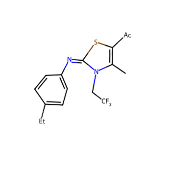 CCc1ccc(N=c2sc(C(C)=O)c(C)n2CC(F)(F)F)cc1